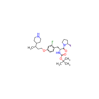 C[C@H](CCOc1ccc(C[C@H](NC(=O)OC(C)(C)C)C(=O)N2CCC[C@H]2I)c(F)c1)C1CCNCC1